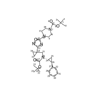 CC(C)(C)OC(=O)N1CCN(c2nc(C3(CN(C(=O)OC(C)(C)C)[C@@H]4C[C@H]4c4ccccc4)CC3)no2)CC1